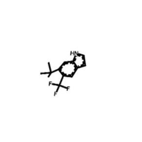 CC(C)(C)c1cc2[nH]ccc2cc1C(F)(F)F